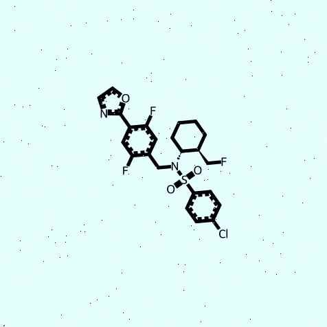 O=S(=O)(c1ccc(Cl)cc1)N(Cc1cc(F)c(-c2ncco2)cc1F)[C@@H]1CCCC[C@H]1CF